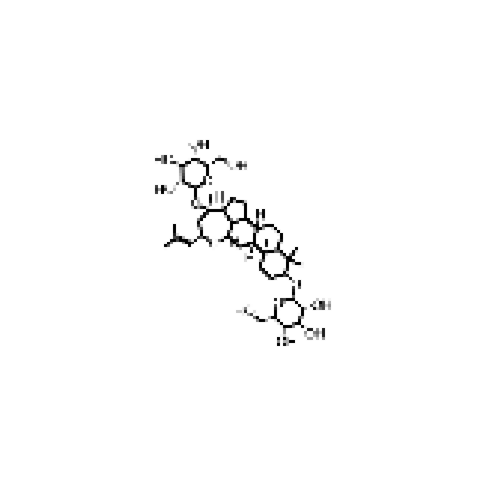 CC(C)=C[C@H]1C[C@](C)(O[C@@H]2O[C@H](CO)[C@@H](O)[C@H](O)[C@H]2O)[C@H]2CC[C@@]3(C)C2[C@@H](C[C@H]2[C@H]3CCC3C(C)(C)[C@@H](O[C@@H]4O[C@H](CO)[C@@H](O)[C@H](O)[C@H]4O)CC[C@@]32C)O1